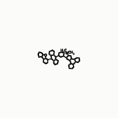 C[Si]1(C)c2ccc(-c3c4ccccc4c(-c4cccc5c4oc4ccccc45)c4ccccc34)cc2-c2cc3c4ccccc4c4ccccc4c3cc21